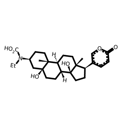 CCN(C(=O)O)[C@H]1CC[C@]2(C)[C@H]3CC[C@]4(C)[C@@H](c5ccc(=O)oc5)CC[C@]4(O)[C@@H]3CC[C@]2(O)C1